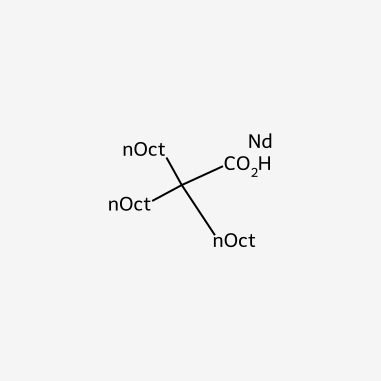 CCCCCCCCC(CCCCCCCC)(CCCCCCCC)C(=O)O.[Nd]